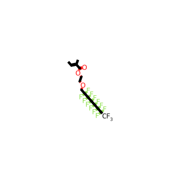 CC=C(C)C(=O)OCCOCC(F)(F)C(F)(F)C(F)(F)C(F)(F)C(F)(F)C(F)(F)C(F)(F)F